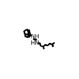 CC(C)CCCC(C)CCNCCNC1C2CC3CC(C2)CC1C3